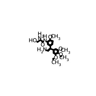 CCOc1cc(C(=CN)c2ccc(OC)c(NC(=O)C(N)CO)c2)cc(OC)c1OC